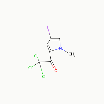 Cn1cc(I)cc1C(=O)C(Cl)(Cl)Cl